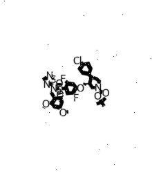 COc1ccc(CN(c2ncns2)S(=O)(=O)c2cc(F)c(OC[C@@H]3CN(C(=O)OC(C)(C)C)CCC3c3ccc(Cl)cc3)cc2F)c(OC)c1